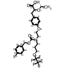 CCOC(Cc1ccc(OCCN(CCCOC(F)(F)C(F)(F)F)C(=O)OCc2ccc(F)cc2)cc1)C(=O)O